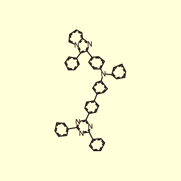 c1ccc(-c2nc(-c3ccccc3)nc(-c3ccc(-c4ccc(N(c5ccccc5)c5ccc(-c6nc7ccccn7c6-c6ccccc6)cc5)cc4)cc3)n2)cc1